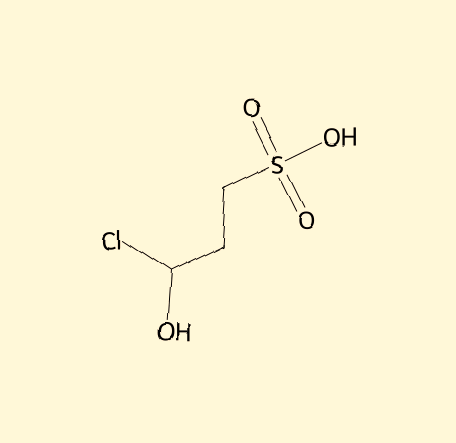 O=S(=O)(O)CCC(O)Cl